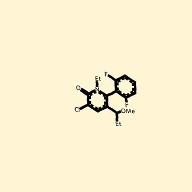 CCC(OC)c1cc(Cl)c(=O)n(CC)c1-c1c(F)cccc1F